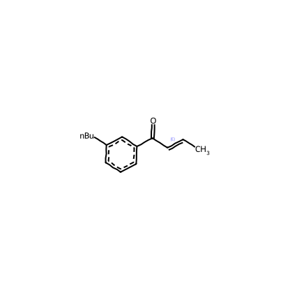 C/C=C/C(=O)c1cccc(CCCC)c1